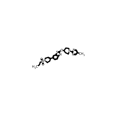 CCCS(=O)(=O)N1CC=C(c2ccc3nc(OC4CCN(c5ncc(C)cn5)CC4)sc3c2)CC1